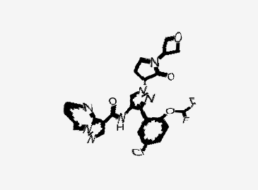 O=C(Nc1cn([C@@H]2CCN(C3COC3)C2=O)nc1-c1cc(Cl)ccc1OC(F)F)c1cnn2cccnc12